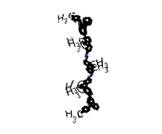 Cc1ccc(-n2c3ccccc3c3cc(-c4ccc5c(c4)C(C)(C)c4cc(/C=C/c6ccc7c(c6)C(C)(C)c6cc(/C=C/c8ccc9c(c8)C(C)(C)c8cc(-c%10ccc%11c(c%10)c%10ccccc%10n%11-c%10ccc(C)cc%10)ccc8-9)ccc6-7)ccc4-5)ccc32)cc1